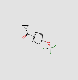 O=C(c1ccc(OC(F)(F)F)cc1)C1CC1